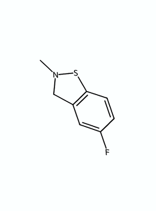 CN1Cc2cc(F)ccc2S1